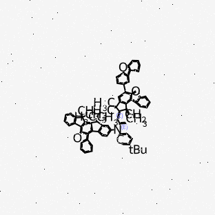 C=C1/C(=C\C(=C/C)N(c2ccc(C(C)(C)C)cc2)c2ccc3c(c2)C(C)(C)c2c4c(c5oc6ccccc6c5c2-3)-c2ccccc2C4(C)C)C(C)(C)c2cc(-c3ccc4oc5ccccc5c4c3)c3oc4ccccc4c3c21